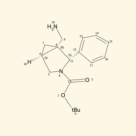 CC(C)(C)OC(=O)N1C[C@H]2C[C@@]2(CN)[C@@H]1c1ccccc1